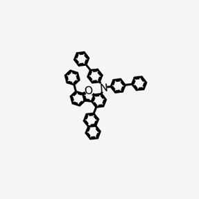 c1ccc(-c2ccc(N(c3ccc(-c4ccccc4)cc3)c3ccc(-c4ccc5ccccc5c4)c4c3oc3c(-c5ccccc5)cccc34)cc2)cc1